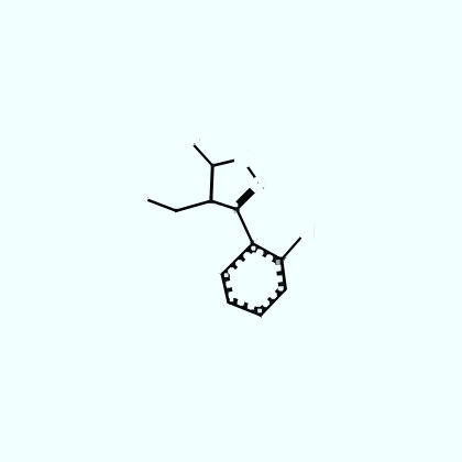 CCC1C(c2ccccc2Cl)=NOC1C